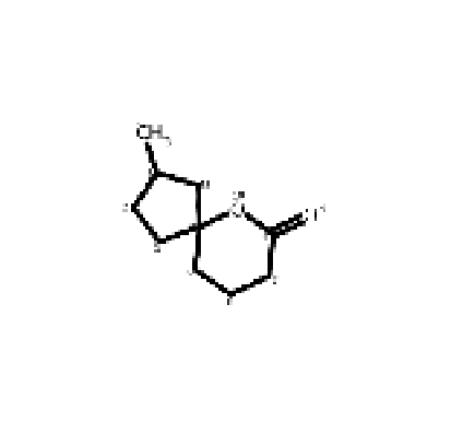 CC1CCC2(CCCC(=O)O2)C1